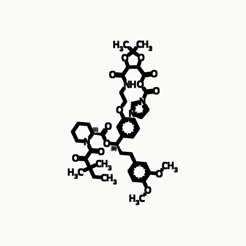 CCC(C)(C)C(=O)C(=O)N1CCCC[C@H]1C(=O)O[C@H](CCc1ccc(OC)c(OC)c1)c1cccc(OCCNC(=O)C2OC(C)(C)OC2C(=O)OC(=O)n2ccnc2)c1